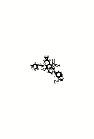 CCn1cnc2ccc(N3CCN(C(=O)[C@@H]4[C@@H](C(=O)NO)CC5(CC5)CN4C(=O)OC4CCOCC4)CC3)cc21